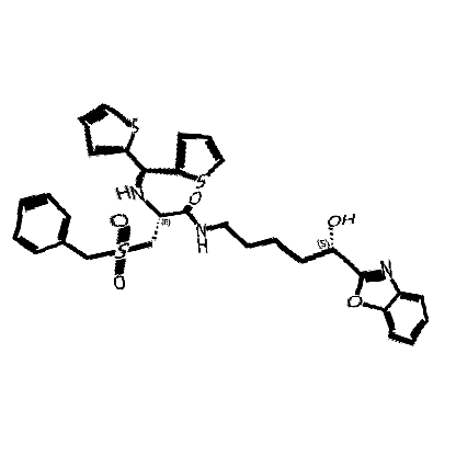 O=C(NCCCC[C@H](O)c1nc2ccccc2o1)[C@H](CS(=O)(=O)Cc1ccccc1)NC(c1cccs1)c1cccs1